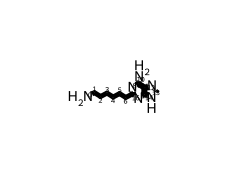 NCCCCCCc1nc(N)c2nc[nH]c2n1